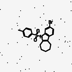 Cc1ccc(S(=O)(=O)n2c3c(c4ccc(Br)cc42)CCCCC3)cc1